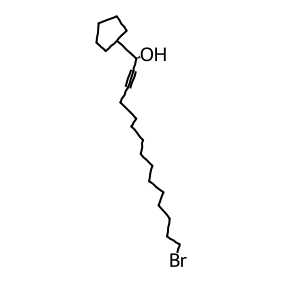 O[C@H](C#CCCCCCCCCCCCCBr)C1CCCCC1